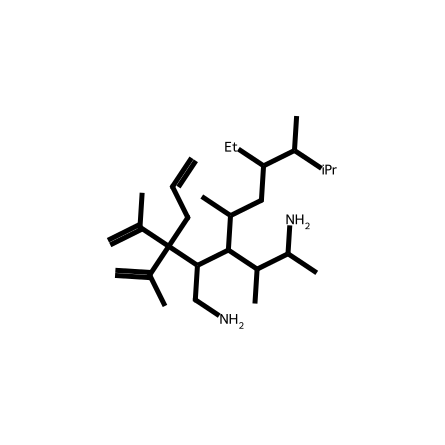 C=CCC(C(=C)C)(C(=C)C)C(CN)C(C(C)CC(CC)C(C)C(C)C)C(C)C(C)N